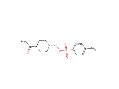 COC(=O)[C@H]1CC[C@H](COS(=O)(=O)c2ccc([N+](=O)[O-])cc2)CC1